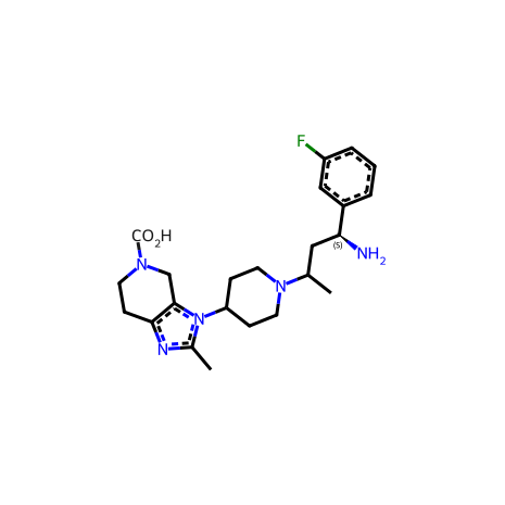 Cc1nc2c(n1C1CCN(C(C)C[C@H](N)c3cccc(F)c3)CC1)CN(C(=O)O)CC2